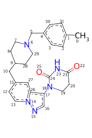 Cc1ccc(CN2CCC(Cc3ccn4ncc(N5CCC(=O)NC5=O)c4c3)CC2)cc1